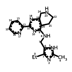 CCc1nc(C)[nH]c1CNc1nc(-c2ccccn2)nc2c1CCNC2